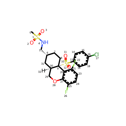 CS(=O)(=O)NC[C@@H]1CC[C@@]2(S(=O)(=O)c3ccc(Cl)cc3)c3c(F)ccc(F)c3OC[C@H]2C1